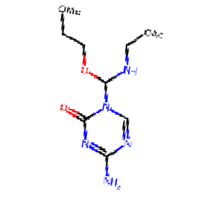 COCCOC(NCOC(C)=O)n1cnc(N)nc1=O